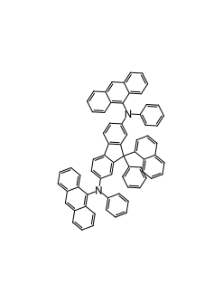 c1ccc(N(c2ccc3c(c2)C(c2ccccc2)(c2cccc4ccccc24)c2cc(N(c4ccccc4)c4c5ccccc5cc5ccccc45)ccc2-3)c2c3ccccc3cc3ccccc23)cc1